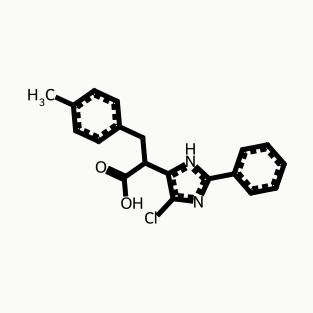 Cc1ccc(CC(C(=O)O)c2[nH]c(-c3ccccc3)nc2Cl)cc1